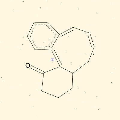 O=C1CCCC2CC=CC=c3cccc/c3=C\12